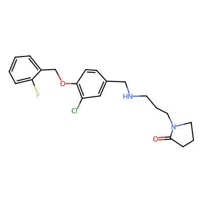 O=C1CCCN1CCCNCc1ccc(OCc2ccccc2F)c(Cl)c1